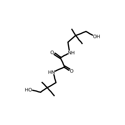 CC(C)(CO)CNC(=O)C(=O)NCC(C)(C)CO